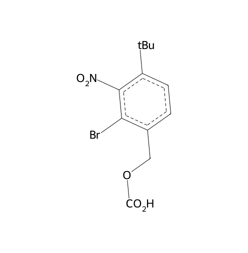 CC(C)(C)c1ccc(COC(=O)O)c(Br)c1[N+](=O)[O-]